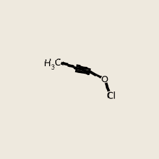 CC#COCl